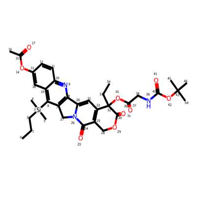 CCC[Si](C)(C)c1c2c(nc3ccc(OC(C)=O)cc13)-c1cc3c(c(=O)n1C2)COC(=O)C3(CC)OC(=O)CNC(=O)OC(C)(C)C